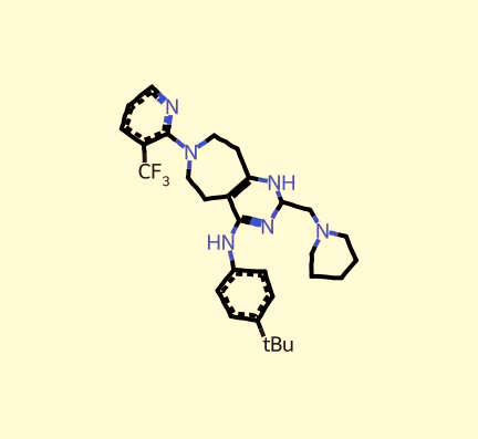 CC(C)(C)c1ccc(NC2=NC(CN3CCCCC3)NC3=C2CCN(c2ncccc2C(F)(F)F)CC3)cc1